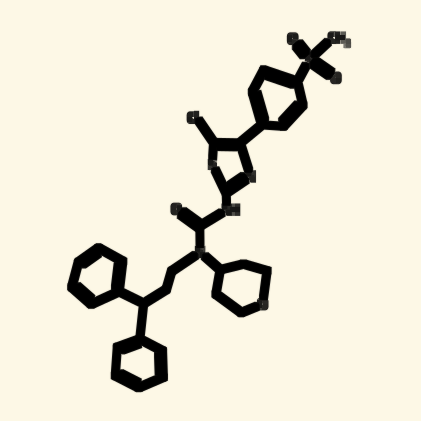 CS(=O)(=O)c1ccc(-c2nc(NC(=O)N(CCC(c3ccccc3)c3ccccc3)C3CCOCC3)sc2Cl)cc1